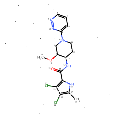 CO[C@H]1CN(c2cccnn2)CC[C@H]1NC(=O)c1[nH]c(C)c(Cl)c1Cl